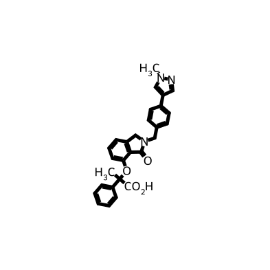 Cn1cc(-c2ccc(CN3Cc4cccc(OC(C)(C(=O)O)c5ccccc5)c4C3=O)cc2)cn1